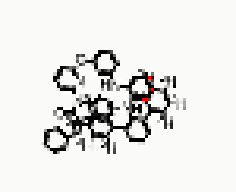 [2H]c1c([2H])c([2H])c(-c2cccc(-c3c([2H])c([2H])c([2H])c([2H])c3[2H])c2Nc2ccccc2Nc2cccc(Oc3cccc(-n4c(=O)n(Cc5ccccc5)c5ccccc54)n3)c2)c([2H])c1[2H]